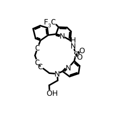 O=S1(=O)Nc2ccc(C(F)(F)F)c(n2)-c2ccccc2CCCCCN(CCO)c2cccc1n2